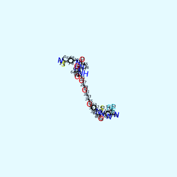 Cc1ncsc1-c1ccc(CNC(=O)[C@@H]2CCCN2C(=O)[C@@H](NC(=O)COCCCOCCCCCOc2ccc(N3C(=S)N(c4cnc(C#N)c(C(F)(F)F)c4)C(=O)C3(C)C)cc2)C(C)(C)C)cc1